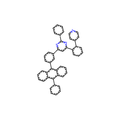 c1ccc(-c2nc(-c3cccc(-c4c5ccccc5c(-c5ccccc5)c5ccccc45)c3)cc(-c3ccccc3-c3ccncc3)n2)cc1